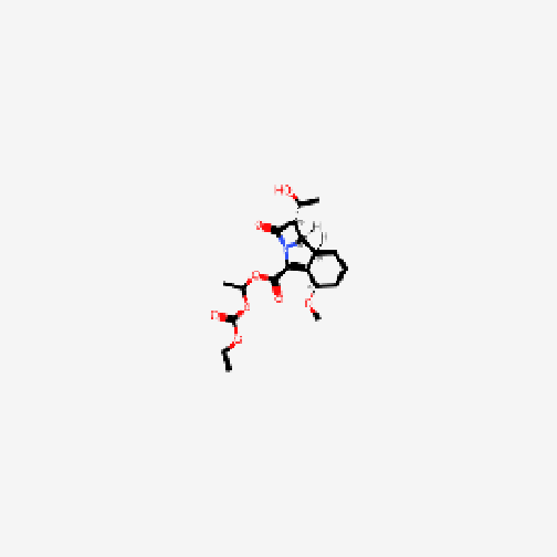 CCOC(=O)OC(C)OC(=O)C1=C2[C@@H](OC)CCC[C@@H]2[C@@H]2[C@@H](C(C)O)C(=O)N12